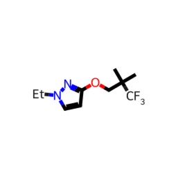 CCn1ccc(OCC(C)(C)C(F)(F)F)n1